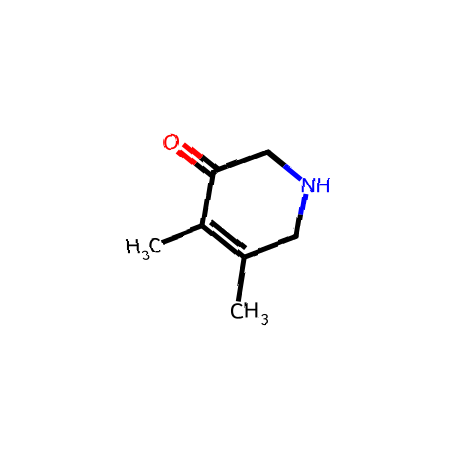 CC1=C(C)C(=O)CNC1